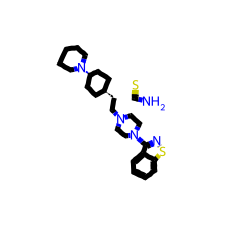 NC=S.c1ccc2c(N3CCN(CC[C@H]4CC[C@@H](N5CCCCC5)CC4)CC3)nsc2c1